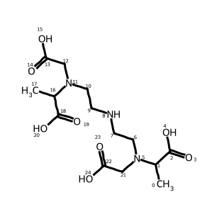 CC(C(=O)O)N(CCNCCN(CC(=O)O)C(C)C(=O)O)CC(=O)O